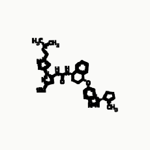 CN(C)CCn1cc(-n2nc(C(C)(C)C)cc2NC(=O)N[C@H]2CC[C@@H](Oc3ccc4nnc([C@@H]5CCCN5C)n4c3)c3ccccc32)cn1